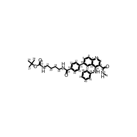 CNC(=O)c1cnc2ccc(-c3ccc(C(=O)NCCCCNC(=O)OC(C)(C)C)cc3)cc2c1Nc1ccccc1